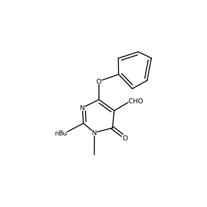 CCCCc1nc(Oc2ccccc2)c(C=O)c(=O)n1C